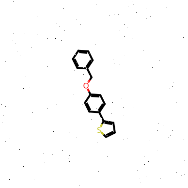 c1ccc(COc2ccc(-c3cccs3)cc2)cc1